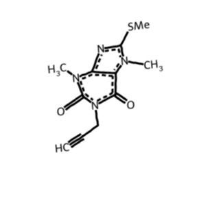 C#CCn1c(=O)c2c(nc(SC)n2C)n(C)c1=O